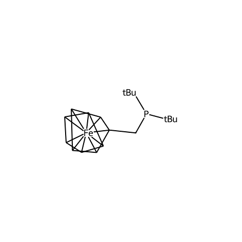 CC(C)(C)P(C[C]12[CH]3[CH]4[CH]5[CH]1[Fe]45321678[CH]2[CH]1[CH]6[CH]7[CH]28)C(C)(C)C